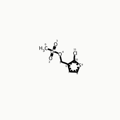 CS(=O)(=O)OCc1ccsc1Cl